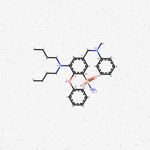 CCCCN(CCCC)c1cc(CN(C)c2ccccc2)cc(S(N)(=O)=O)c1Oc1ccccc1